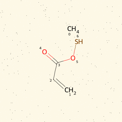 C.C=CC(=O)OS